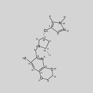 Cc1c(O[C@@H]2C[C@H](C)N(Cc3nc4c(cc3F)OCCO4)C2)cnn1C